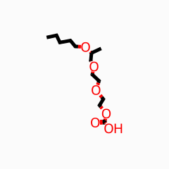 CCCCCOC(C)COCCOCCOC(=O)O